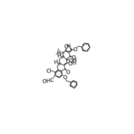 CN(C)[C@@H]1c2onc(OCc3ccccc3)c2C(=O)[C@@]2(O)C(O)=C3C(=O)c4c(OCc5ccccc5)cc(C=O)c(Cl)c4C[C@H]3C[C@@H]12